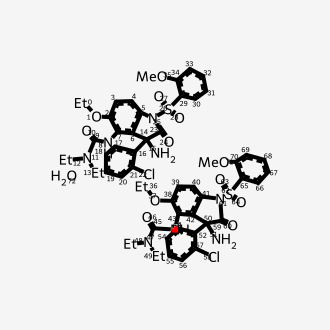 CCOc1ccc2c(c1NC(=O)N(CC)CC)C(N)(c1ccccc1Cl)C(=O)N2S(=O)(=O)c1ccccc1OC.CCOc1ccc2c(c1NC(=O)N(CC)CC)C(N)(c1ccccc1Cl)C(=O)N2S(=O)(=O)c1ccccc1OC.O